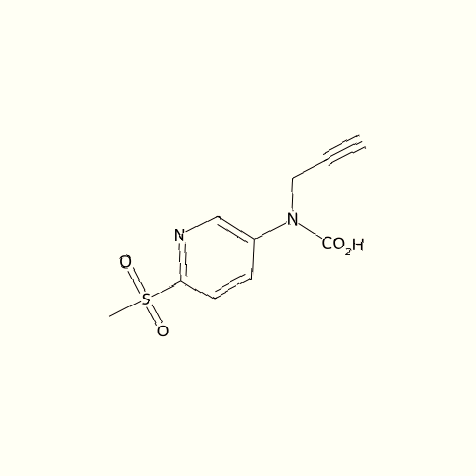 C#CCN(C(=O)O)c1ccc(S(C)(=O)=O)nc1